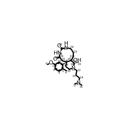 COc1ccc(C)c([C@]23CCN(CCCN(C)C)[C@H](C)[C@]2(O)CCCNC(=O)NC(=O)C3)c1